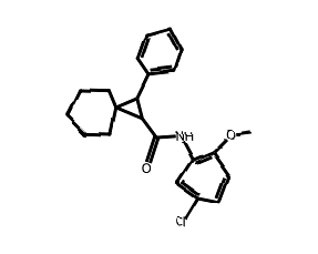 COc1ccc(Cl)cc1NC(=O)C1C(c2ccccc2)C12CCCCC2